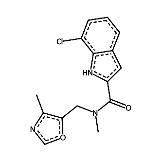 Cc1ncoc1CN(C)C(=O)c1cc2cccc(Cl)c2[nH]1